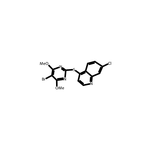 COc1nc(Sc2ccnc3cc(Cl)ccc23)nc(OC)c1Br